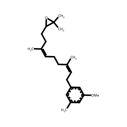 COc1cc(C)cc(CC=C(C)CCC=C(C)CCC2OC2(C)C)c1